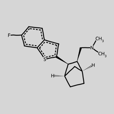 CN(C)C[C@H]1[C@H]2CC[C@H](C2)[C@H]1c1cc2ccc(F)cc2s1